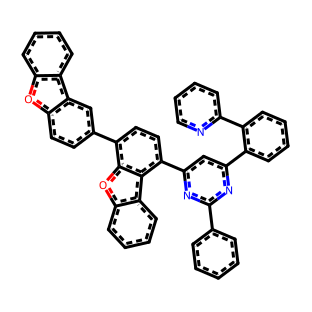 c1ccc(-c2nc(-c3ccccc3-c3ccccn3)cc(-c3ccc(-c4ccc5oc6ccccc6c5c4)c4oc5ccccc5c34)n2)cc1